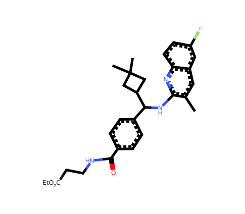 CCOC(=O)CCNC(=O)c1ccc(C(Nc2nc3ccc(F)cc3cc2C)C2CC(C)(C)C2)cc1